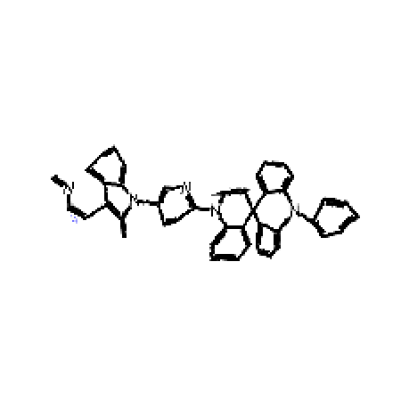 C=N/C=C\c1c(C)n(-c2ccc(N3c4ccccc4C4(c5ccccc5N(c5ccccc5)c5ccccc54)c4ccccc43)nc2)c2ccccc12